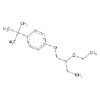 CCOC(CC)COc1ccc(C(C)(C)C)cc1